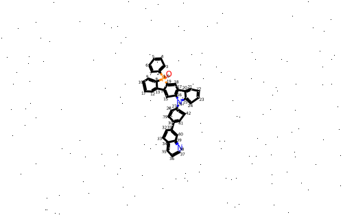 O=P1(c2ccccc2)c2ccccc2-c2cc3c(cc21)c1ccccc1n3-c1ccc(-c2ccc3cccnc3c2)cc1